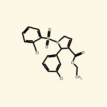 CCOC(=O)C1=CCN(S(=O)(=O)c2ccccc2Cl)C1c1cccc(Cl)c1